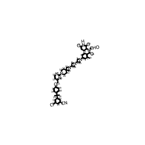 Cc1cc(N2CC(N3CC(N4CC5(CCN(c6nccc(COc7ccc(C(C)(C)c8cc(Cl)cc(C#N)c8)cc7)n6)CC5)C4)C3)C2)ccc1C(=O)N(C=O)C1CCC(=O)NC1=O